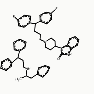 CC(Cc1ccccc1)NCCC(c1ccccc1)c1ccccc1.O=c1[nH]c2ccccc2n1C1CCN(CCCC(c2ccc(F)cc2)c2ccc(F)cc2)CC1